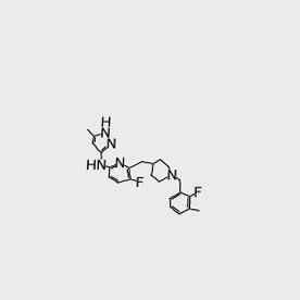 Cc1cc(Nc2ccc(F)c(CC3CCN(Cc4cccc(C)c4F)CC3)n2)n[nH]1